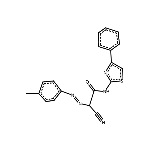 Cc1ccc(N=NC(C#N)C(=O)Nc2nc(-c3ccccc3)cs2)cc1